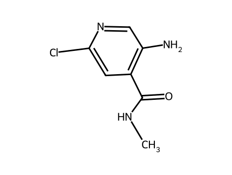 CNC(=O)c1cc(Cl)ncc1N